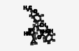 CC1Cc2cc(C(C)(CNC(=O)c3ccccc3O)Cc3cc(C4CC4)[nH]n3)ccc2O1